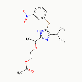 CC(=O)OCCOC(C)c1nc(C(C)C)c(Sc2cccc([N+](=O)[O-])c2)[nH]1